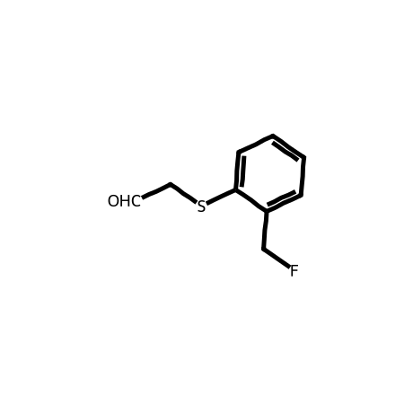 O=CCSc1ccccc1CF